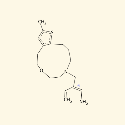 C=C/C(=C\N)CN1CCCc2sc(C)cc2CCOCC1